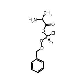 C[C@H](N)C(=O)OP(=O)(Cl)OOCc1ccccc1